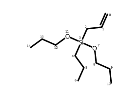 C=CC[Si](CCC)(OCCC)OCCC